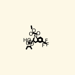 CCOC(=O)C(=O)N1CC(P(=O)(O)OC(C)CC)Cc2cc(C(F)(F)F)ccc21